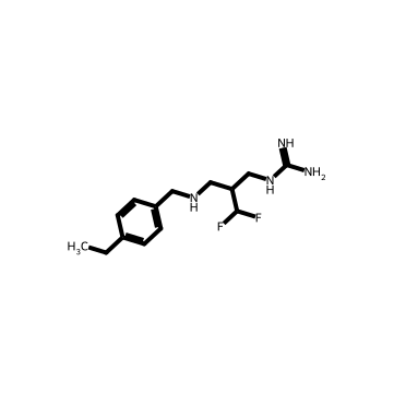 CCc1ccc(CNCC(CNC(=N)N)C(F)F)cc1